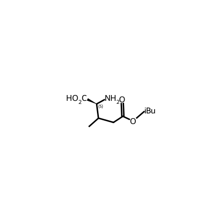 CCC(C)OC(=O)CC(C)[C@H](N)C(=O)O